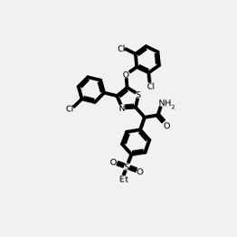 CCS(=O)(=O)c1ccc(C(C(N)=O)c2nc(-c3cccc(Cl)c3)c(Oc3c(Cl)cccc3Cl)s2)cc1